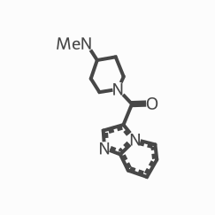 CNC1CCN(C(=O)c2cnc3ccccn23)CC1